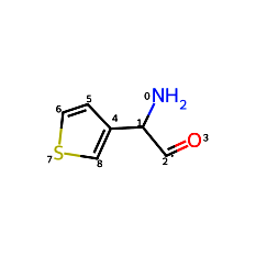 NC([C]=O)c1ccsc1